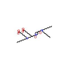 CCCCCCCCCN(CCCCCCCC(=O)OC)CCC/C(=C/CC(=O)N1CCC(=CC(=O)CN(CCCCCCCCC)CCCCCCCCC)CC1)CCCCCCCC(=O)OC